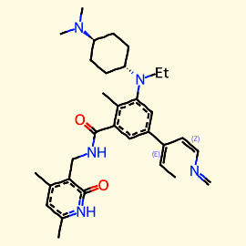 C=N/C=C\C(=C/C)c1cc(C(=O)NCc2c(C)cc(C)[nH]c2=O)c(C)c(N(CC)[C@H]2CC[C@H](N(C)C)CC2)c1